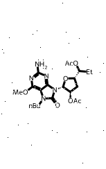 CCCCn1c(=O)n([C@@H]2O[C@H](C(CC)OC(C)=O)C[C@H]2OC(C)=O)c2nc(N)nc(OC)c21